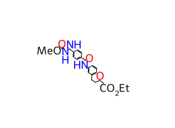 CCOC(=O)CC1CCc2cc(NC(=O)c3ccc(C(=N)NC(=O)OC)cc3)ccc2O1